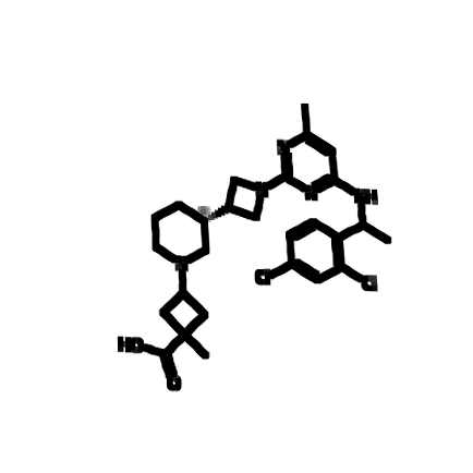 Cc1cc(NC(C)c2ccc(Cl)cc2Cl)nc(N2CC([C@H]3CCCN(C4CC(C)(C(=O)O)C4)C3)C2)n1